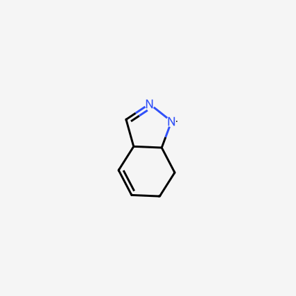 C1=CC2C=N[N]C2CC1